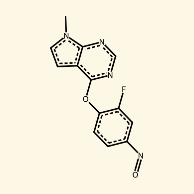 Cn1ccc2c(Oc3ccc(N=O)cc3F)ncnc21